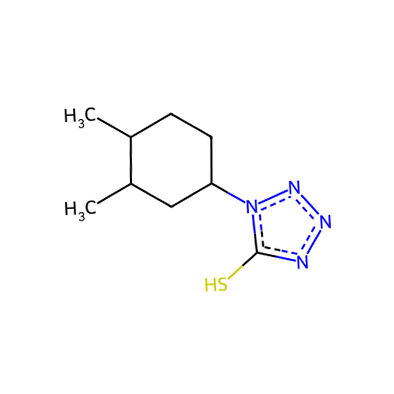 CC1CCC(n2nnnc2S)CC1C